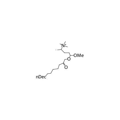 [CH2]C(CCC(OC)OCC(=O)CCCCCCCCCCCCCCC)[N+](C)(C)C